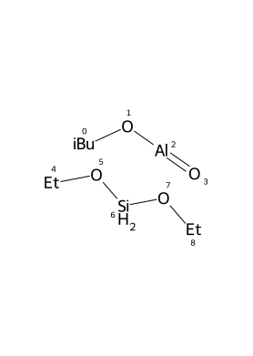 CCC(C)[O][Al]=[O].CCO[SiH2]OCC